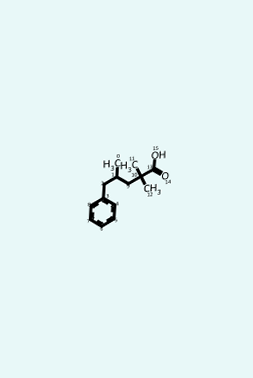 CC(Cc1ccccc1)CC(C)(C)C(=O)O